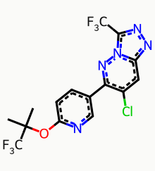 CC(C)(Oc1ccc(-c2nn3c(C(F)(F)F)nnc3cc2Cl)cn1)C(F)(F)F